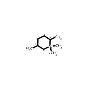 CC1CCC(C)[N+](C)(C)C1